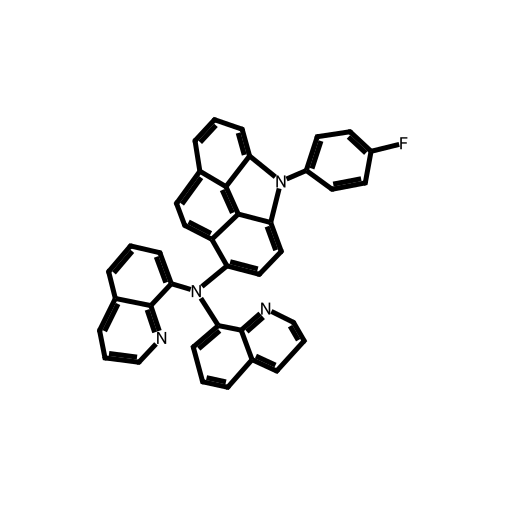 Fc1ccc(-n2c3cccc4ccc5c(N(c6cccc7cccnc67)c6cccc7cccnc67)ccc2c5c43)cc1